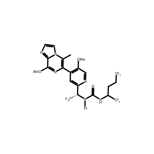 CCN(C(=O)NC(CCC(F)(F)F)C(F)(F)F)[C@@H](c1cc(-c2nc(OC)c3nccn3c2C)c(OC)cn1)C(F)(F)F